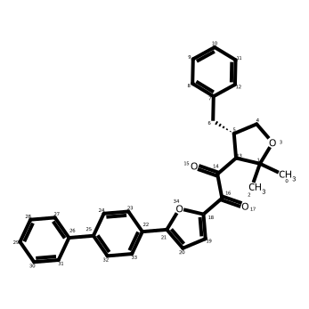 CC1(C)OC[C@@H](Cc2ccccc2)C1C(=O)C(=O)c1ccc(-c2ccc(-c3ccccc3)cc2)o1